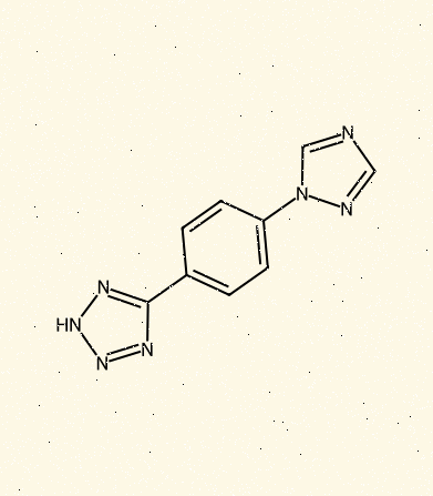 c1ncn(-c2ccc(-c3nn[nH]n3)cc2)n1